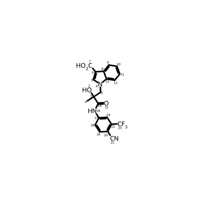 CC(O)(Cn1cc(C(=O)O)c2ccccc21)C(=O)Nc1ccc(C#N)c(C(F)(F)F)c1